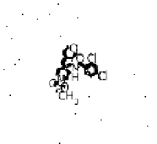 CCS(=O)(=O)N1CCC(CNC(=O)c2ccc(Cl)cc2Cl)(CC2CCOCC2)CC1